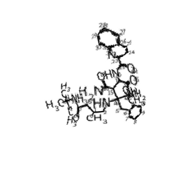 CC(CNC(Cc1ccccc1)(C(C)O)C(C(N)=O)C(NC(=O)c1ccc2ccccc2n1)C(N)=O)CC(=O)NC(C)(C)C